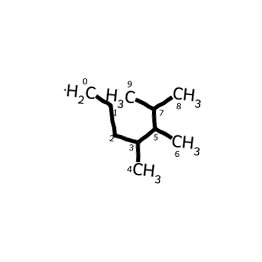 [CH2]CCC(C)C(C)C(C)C